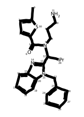 Cc1ccc(C(=O)N(CCCN)C(c2nc3ccccc3n2Cc2ccccc2)C(C)C)s1